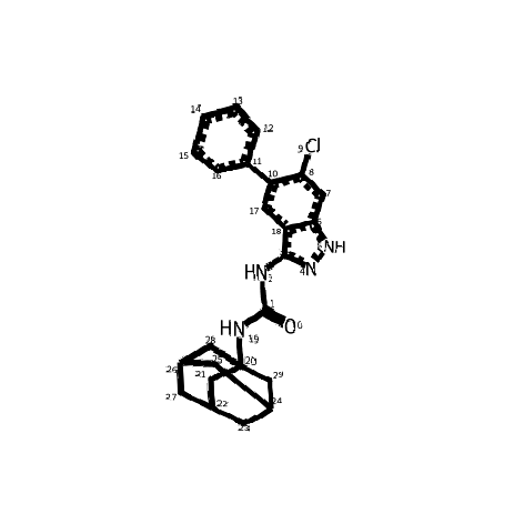 O=C(Nc1n[nH]c2cc(Cl)c(-c3ccccc3)cc12)NC12CC3CC(CC(C3)C1)C2